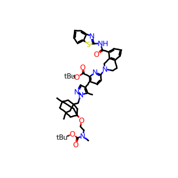 Cc1c(-c2ccc(N3CCc4cccc(C(=O)Nc5nc6ccccc6s5)c4C3)nc2C(=O)OC(C)(C)C)cnn1CC12CC3(C)CC(C)(C1)CC(OCCN(C)C(=O)OC(C)(C)C)(C3)C2